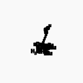 CCCCCCCCCCCCCC[C@H]1OC(C)(C)O[C@H]1[C@H](CO[C@H]1OC(COCCCC)[C@@H](F)[C@H](OCCCC)C1OCCCC)NC(=O)CCCCCCCCCCc1ccc(Oc2ccc(F)cc2)cc1